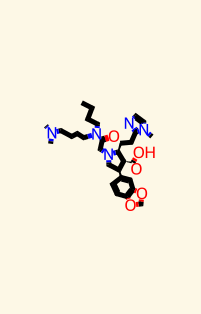 CCCCN(CCCCN(C)C)C(=O)CN1C[C@H](c2ccc3c(c2)OCO3)[C@@H](C(=O)O)[C@@H]1CCc1nccn1C